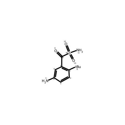 CC(C)(C)c1ccc(N)cc1C(=O)S(N)(=O)=O